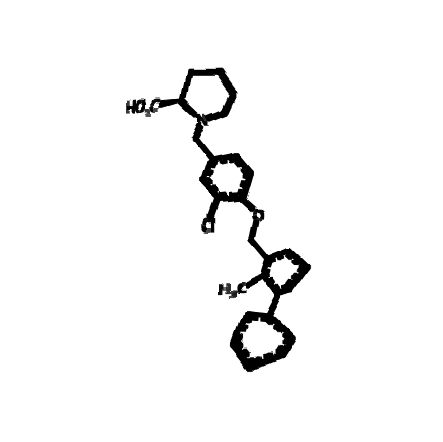 Cc1c(COc2ccc(CN3CCCC[C@@H]3C(=O)O)cc2Cl)cccc1-c1ccccc1